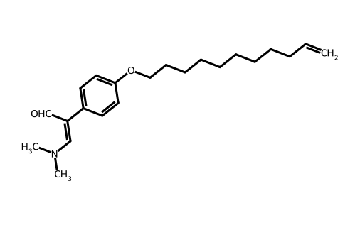 C=CCCCCCCCCCOc1ccc(C(C=O)=CN(C)C)cc1